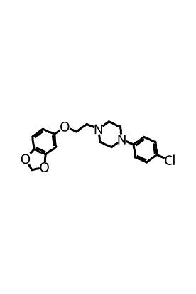 Clc1ccc(N2CCN(CCOc3ccc4c(c3)OCO4)CC2)cc1